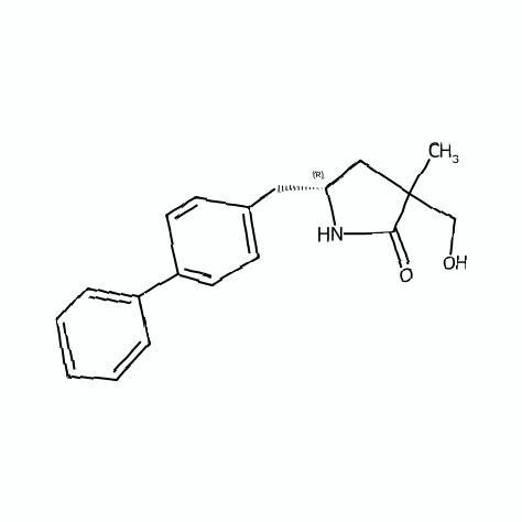 CC1(CO)C[C@@H](Cc2ccc(-c3ccccc3)cc2)NC1=O